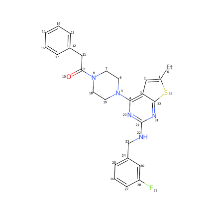 CCc1cc2c(N3CCN(C(=O)Cc4ccccc4)CC3)nc(NCc3cccc(F)c3)nc2s1